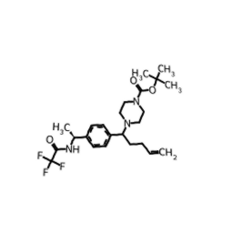 C=CCCC(c1ccc([C@H](C)NC(=O)C(F)(F)F)cc1)N1CCN(C(=O)OC(C)(C)C)CC1